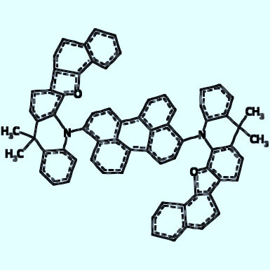 CC1(C)c2ccccc2N(c2ccc3c4cccc5c(N6c7ccccc7C(C)(C)c7ccc8c(oc9c%10ccccc%10ccc89)c76)ccc(c6cccc2c63)c54)c2c1ccc1c2oc2c3ccccc3ccc12